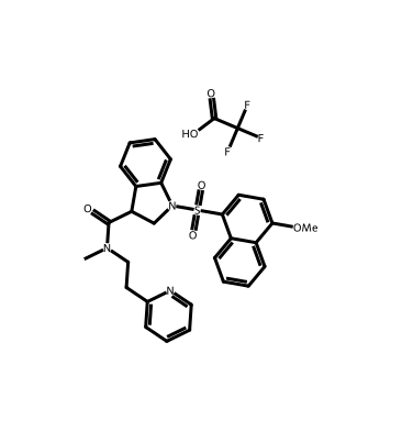 COc1ccc(S(=O)(=O)N2CC(C(=O)N(C)CCc3ccccn3)c3ccccc32)c2ccccc12.O=C(O)C(F)(F)F